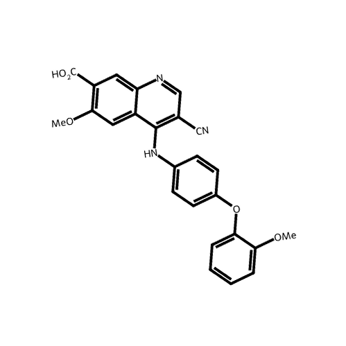 COc1ccccc1Oc1ccc(Nc2c(C#N)cnc3cc(C(=O)O)c(OC)cc23)cc1